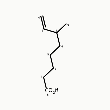 C=CC(C)CCCCC(=O)O